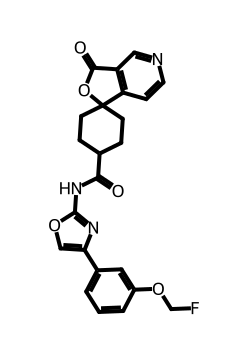 O=C1OC2(CCC(C(=O)Nc3nc(-c4cccc(OCF)c4)co3)CC2)c2ccncc21